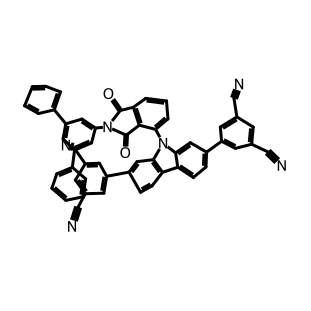 N#Cc1cc(C#N)cc(-c2ccc3c4ccc(-c5cc(C#N)cc(C#N)c5)cc4n(-c4cccc5c4C(=O)N(c4cc(-c6ccccc6)cc(-c6ccccc6)c4)C5=O)c3c2)c1